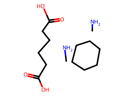 C1CCCCC1.CN.CN.O=C(O)CCCCC(=O)O